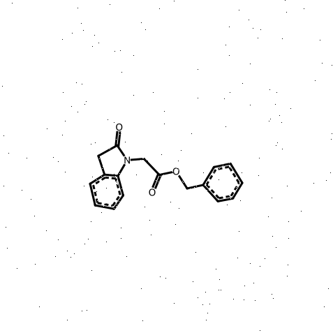 O=C(CN1C(=O)Cc2ccccc21)OCc1ccccc1